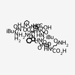 CC[C@H](C)[C@H](N)C(=O)NCC(=O)N1CCC[C@H]1C(=O)N[C@@H](CCC(N)=O)C(=O)N[C@H](C(=O)N[C@H](C(=O)N[C@@H](Cc1c[nH]c2ccccc12)C(=O)NCC(=O)N[C@@H](CCC(N)=O)C(=O)O)[C@@H](C)CC)[C@@H](C)O